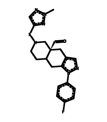 Cn1ncc(SN2CCC3Cc4c(cnn4-c4ccc(F)cc4)C[C@]3(C=O)C2)n1